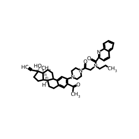 C#C[C@]1(O)CCC2[C@@H]3CCc4cc(C(C)=O)c(N5CCN(C(=O)CN(CCC)C(=O)c6ccc7ccccc7n6)CC5)cc4C3CC[C@@]21C